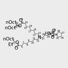 CCCCCCCCC(CC)OC(=O)CCCCCCCN(CCCCCCCC(=O)OC(CCCCCCCC)CCCCCCCC)CCCNS(=O)(=O)C1CCCC1